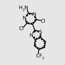 Nc1nc(Cl)c(-c2nc3cc(C(F)(F)F)ccc3s2)c(Cl)n1